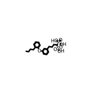 CCCCc1ccccc1Oc1cccc(CCCC(P(=O)(O)O)S(=O)(=O)O)c1